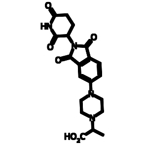 CC(C(=O)O)N1CCN(c2ccc3c(c2)C(=O)N(C2CCC(=O)NC2=O)C3=O)CC1